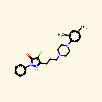 Cc1ccc(N2CCN(CCCc3[nH]n(-c4ccccc4)c(=O)c3Cl)CC2)c(C)c1